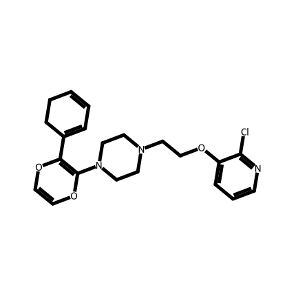 Clc1ncccc1OCCN1CCN(C2=C(C3=CC=CCC3)OC=CO2)CC1